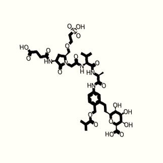 CC(C)C(=O)OCc1ccc(NC(=O)[C@H](C)NC(=O)[C@@H](NC(=O)CN2C(=O)[C@@H](NC(=O)CCC(=O)O)C[C@H]2COCCS(=O)(=O)O)C(C)C)cc1CC[C@@H]1O[C@H](C(=O)O)[C@@H](O)[C@H](O)[C@H]1O